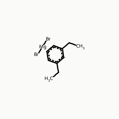 CCc1[c]c(CC)ccc1.[Br][Mg][Br]